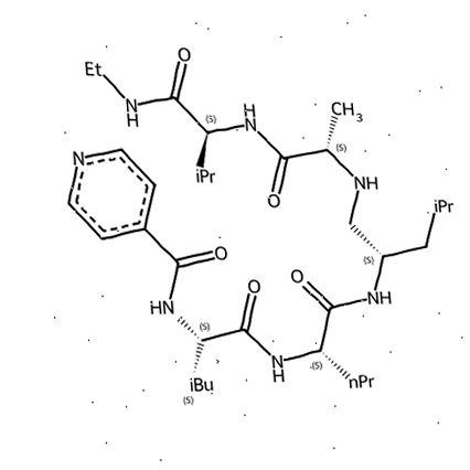 CCC[C@H](NC(=O)[C@@H](NC(=O)c1ccncc1)[C@@H](C)CC)C(=O)N[C@H](CN[C@@H](C)C(=O)N[C@H](C(=O)NCC)C(C)C)CC(C)C